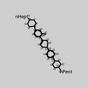 CCCCCCCC1CCC(c2ccc(C3=CCC(c4ccc(C5CCC(CCCCC)CC5)cc4)CC3)c(F)c2)CC1